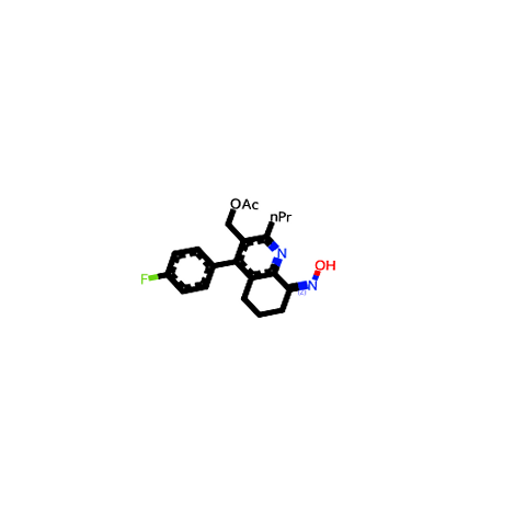 CCCc1nc2c(c(-c3ccc(F)cc3)c1COC(C)=O)CCC/C2=N/O